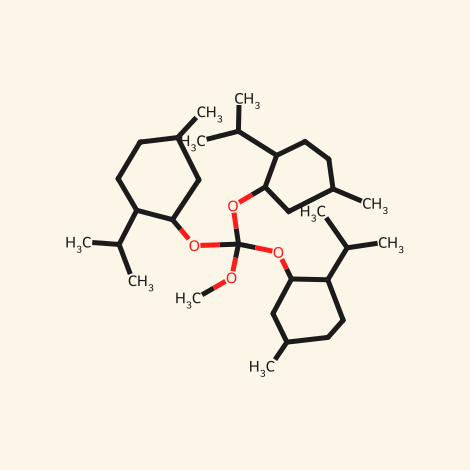 COC(OC1CC(C)CCC1C(C)C)(OC1CC(C)CCC1C(C)C)OC1CC(C)CCC1C(C)C